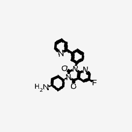 N[C@H]1CC[C@@H](n2c(=O)c3cc(F)cnc3n(-c3cccc(-c4ccccn4)c3)c2=O)CC1